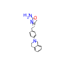 NC1=N[C@@H](CCc2ccc(N3CCc4ccccc4C3)cc2)CO1